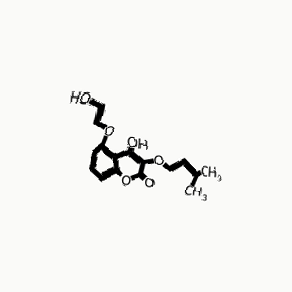 CC(C)=CCOc1c(O)c2c(OCCO)cccc2oc1=O